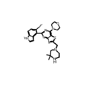 CC1(C)CN(Cc2nc3nc(-c4c(F)ccc5[nH]ccc45)nc(N4CCOCC4)c3s2)CCN1